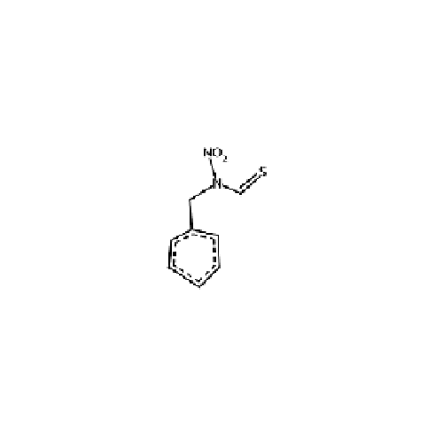 O=[N+]([O-])N([C]=S)Cc1ccccc1